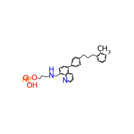 Cc1ccccc1CCCc1ccc(-c2ccc(CNCCCO[PH](=O)O)c3ncccc23)cc1